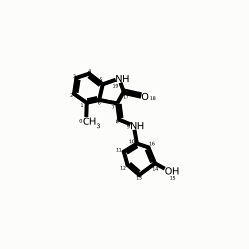 Cc1cccc2c1C(=CNc1cccc(O)c1)C(=O)N2